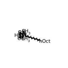 CCCCCCCCC=CCCCCCCCCN1CN(C)c2c1n(C)c(=O)[nH]c2=O